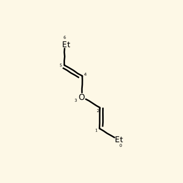 CC/C=C/O/C=C/CC